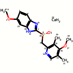 COc1ccc2nc([S@+]([O-])Cc3ncc(C)c(OC)c3C)[nH]c2c1.[CaH2]